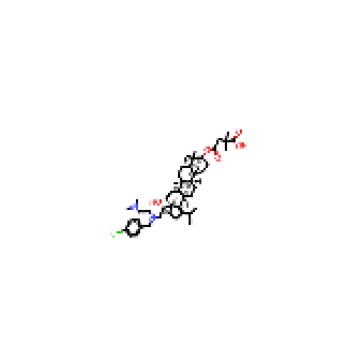 CC(C)C1=C2[C@H]3CC[C@@H]4[C@@]5(C)CC[C@H](OC(=O)CC(C)(C)C(=O)O)C(C)(C)[C@@H]5CC[C@@]4(C)[C@]3(C)CC[C@@]2([C@@H](O)CN(CCN(C)C)Cc2ccc(Cl)cc2)CC1